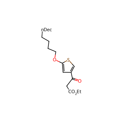 CCCCCCCCCCCCCCOc1cc(C(=O)CC(=O)OCC)cs1